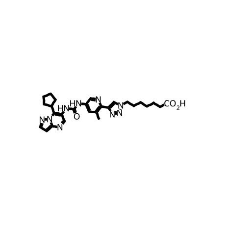 Cc1cc(NC(=O)Nc2cnc3ccnn3c2C2CCCC2)cnc1-c1cn(CCCCCCC(=O)O)nn1